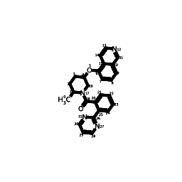 CC1CCC(Oc2cccc3cnccc23)CN1C(=O)c1ccccc1-c1ncccn1